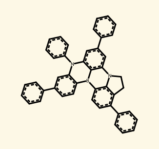 c1ccc(-c2ccc3c(c2)N(c2ccccc2)c2cc(-c4ccccc4)cc4c2B3c2ccc(-c3ccccc3)c3c2N4CC3)cc1